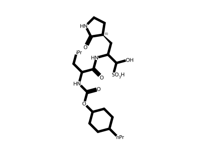 CCCC1CCC(OC(=O)NC(CC(C)C)C(=O)NC(C[C@@H]2CCNC2=O)C(O)S(=O)(=O)O)CC1